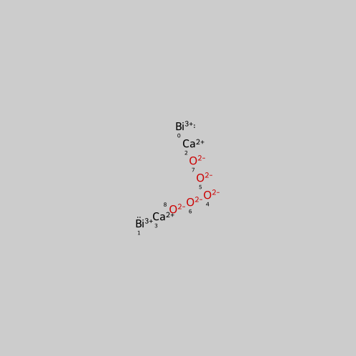 [Bi+3].[Bi+3].[Ca+2].[Ca+2].[O-2].[O-2].[O-2].[O-2].[O-2]